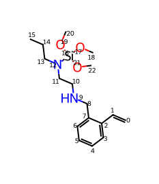 C=Cc1ccccc1CNCCN(CCC)[Si](OC)(OC)OC